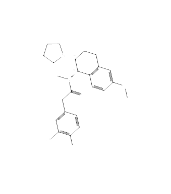 COc1ccc2c(c1)CC[C@@H](N1CCCC1)[C@@H]2N(C)C(=O)Cc1ccc(Cl)c(Cl)c1